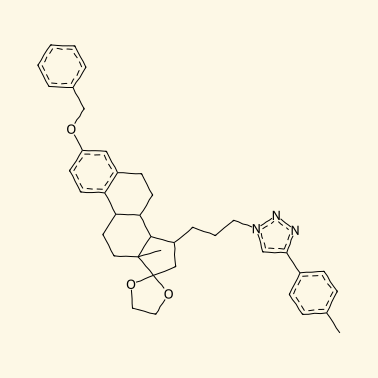 Cc1ccc(-c2cn(CCCC3CC4(OCCO4)C4(C)CCC5c6ccc(OCc7ccccc7)cc6CCC5C34)nn2)cc1